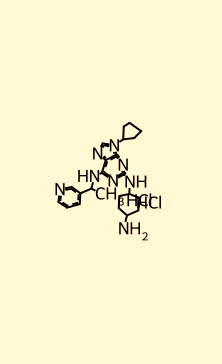 CC(Nc1nc(NC2CCC(N)CC2)nc2c1ncn2C1CCCC1)c1cccnc1.Cl.Cl